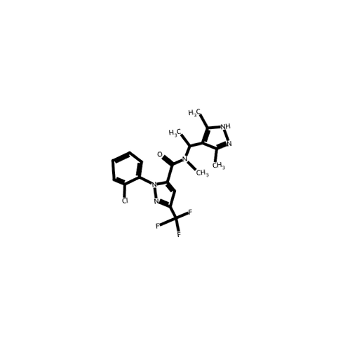 Cc1n[nH]c(C)c1C(C)N(C)C(=O)c1cc(C(F)(F)F)nn1-c1ccccc1Cl